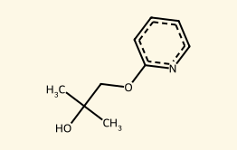 CC(C)(O)COc1ccccn1